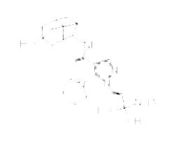 CC(=O)NC(C)(C)/C=C/n1ncc(C(=O)NC2C3CC4CC2CC(O)(C4)C3)c1N1CCOCC1